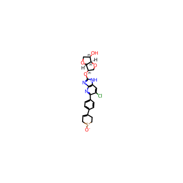 [O-][S+]1CC=C(c2ccc(-c3nc4nc(O[C@@H]5CO[C@H]6[C@@H]5OC[C@H]6O)[nH]c4cc3Cl)cc2)CC1